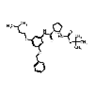 CC(C)CCOc1cc(NC(=O)[C@H]2CCC[C@@H]2NC(=O)OC(C)(C)C)cc(OCc2ccccc2)c1